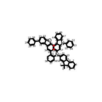 CC1(C)c2ccccc2-c2ccc(N(C3=C(c4ccc5oc6ccc(-c7ccccc7)cc6c5c4)CCC=C3)c3ccc4c5ccccc5n(-c5ccccc5)c4c3)cc21